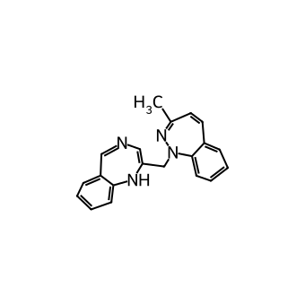 CC1=NN(CC2=CN=Cc3ccccc3N2)c2ccccc2C=C1